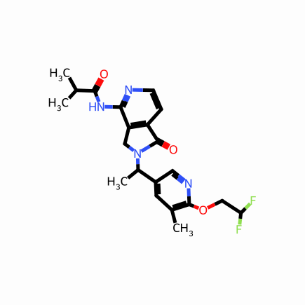 Cc1cc(C(C)N2Cc3c(ccnc3NC(=O)C(C)C)C2=O)cnc1OCC(F)F